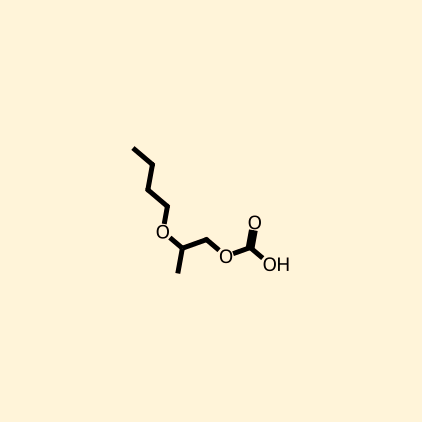 CCCCOC(C)COC(=O)O